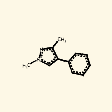 Cc1nn(C)cc1-c1c[c]ccc1